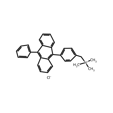 C[N+](C)(C)Cc1ccc(-c2c3ccccc3c(-c3ccccc3)c3ccccc23)cc1.[Cl-]